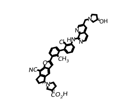 Cc1c(-c2cc3cc4c(c(C#N)c3o2)CC[C@H]4N2CC[C@@H](C(=O)O)C2)cccc1-c1cccc(Nc2nccc3cc(CN4CC[C@@H](O)C4)cnc23)c1Cl